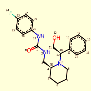 O=C(NC[C@@H]1CCCCN1[C@@H](CO)c1ccccc1)Nc1ccc(F)cc1